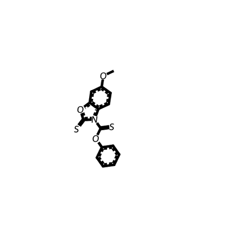 COc1ccc2c(c1)oc(=S)n2C(=S)Oc1ccccc1